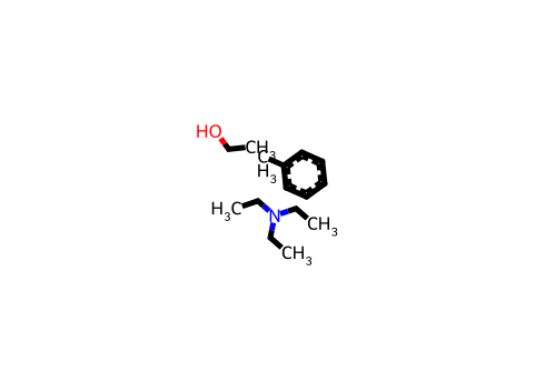 CCN(CC)CC.CCO.Cc1ccccc1